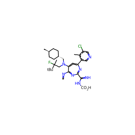 C=NC1=NC(C(=N)NC(=O)O)=NC(c2cncc(Cl)c2C)=C=C1N(CC(C)(F)C(C)(C)C)C[C@H]1CC[C@H](C)CC1